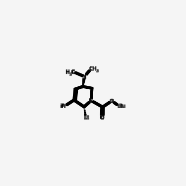 CC[C@@H]1C(C(C)C)=C[C@@H](N(C)C)CN1C(=O)OC(C)(C)C